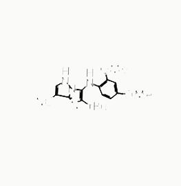 COc1ccc(Nc2c(C(C)(C)C)nc3c(C#N)c[nH]n23)c(OC)c1